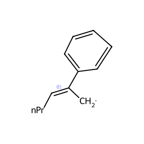 [CH2]/C(=C\CCC)c1ccccc1